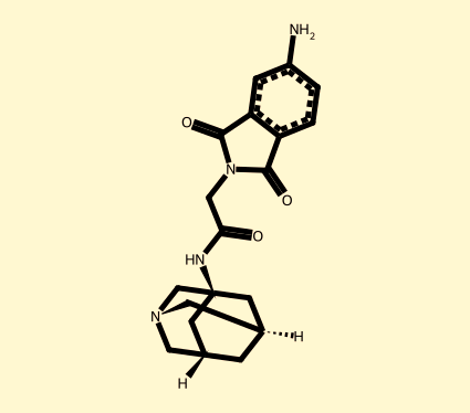 Nc1ccc2c(c1)C(=O)N(CC(=O)N[C@@]13C[C@@H]4C[C@@H](C[N@](C4)C1)C3)C2=O